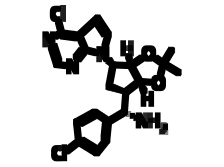 CC1(C)O[C@@H]2[C@@H]([C@H](N)c3ccc(Cl)cc3)C[C@@H](n3ccc4c(Cl)ncnc43)[C@@H]2O1